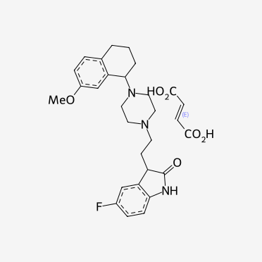 COc1ccc2c(c1)C(N1CCN(CCC3C(=O)Nc4ccc(F)cc43)CC1)CCC2.O=C(O)/C=C/C(=O)O